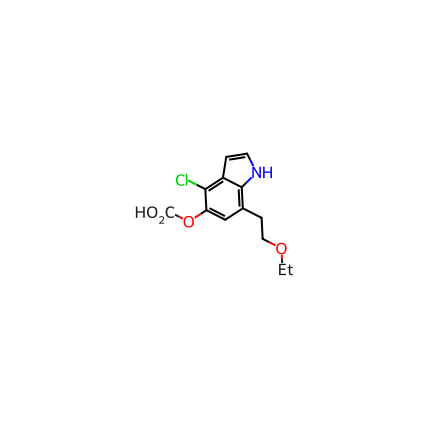 CCOCCc1cc(OC(=O)O)c(Cl)c2cc[nH]c12